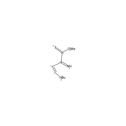 CCCC/C=C\C(=N)C(=S)OC